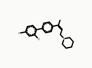 C/C(=C/CN1CCCCC1)c1ccc(-c2ccc(Cl)cc2Cl)cc1